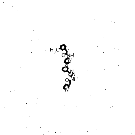 Cc1cccc(CC(=O)Nc2ccc(N3CCCC(c4nnc(NC(=O)Cc5cccnc5)s4)C3)cn2)c1